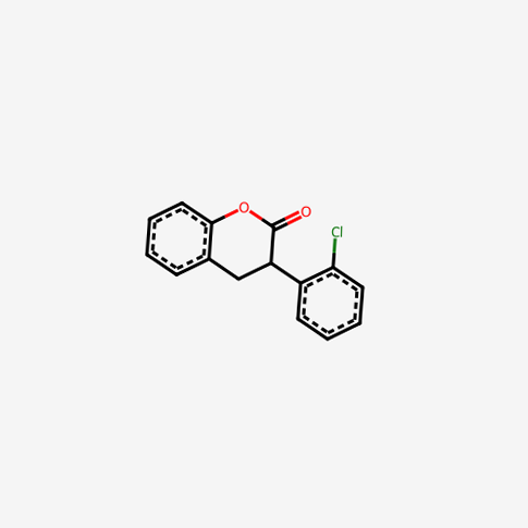 O=C1Oc2ccccc2CC1c1ccccc1Cl